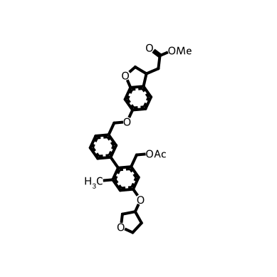 COC(=O)CC1COc2cc(OCc3cccc(-c4c(C)cc(OC5CCOC5)cc4COC(C)=O)c3)ccc21